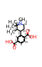 CC1C(c2cc(C(=O)O)ccc2C(=O)O)CCN(C)C1(C)C